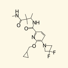 CNC(=O)C(C)(C)C(C)NC(=O)c1ccc(N2CC(F)(F)C2)c(OCC2CC2)n1